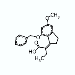 CC/C(C(=O)O)=C1\CCc2cc(OC)cc(OCc3ccccc3)c21